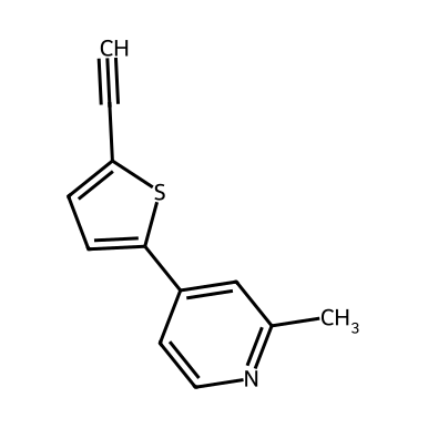 C#Cc1ccc(-c2ccnc(C)c2)s1